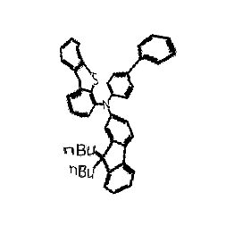 CCCCC1(CCCC)c2ccccc2-c2ccc(N(c3ccc(-c4ccccc4)cc3)c3cccc4c3sc3ccccc34)cc21